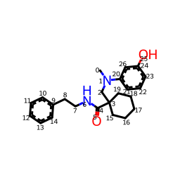 CN(CC1(C(=O)NCCc2ccccc2)CCCCC1)c1cccc(O)c1